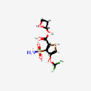 NS(=O)(=O)c1c(OC(F)F)csc1C(=O)OC1CCO1